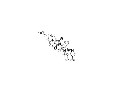 C#Cc1ccc2c(c1)CCC21NC(=O)N(CC(=O)N(Cc2ccccc2)[C@@H](C)C2CC2)C1=O